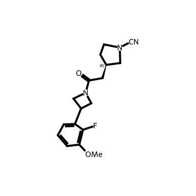 COc1cccc(C2CN(C(=O)C[C@H]3CCN(C#N)C3)C2)c1F